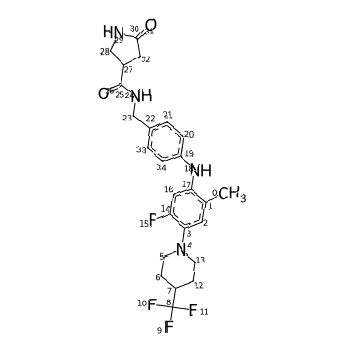 Cc1cc(N2CCC(C(F)(F)F)CC2)c(F)cc1Nc1ccc(CNC(=O)C2CNC(=O)C2)cc1